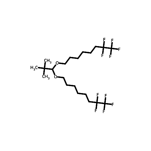 CC(C)(C)C(OCCCCCCC(F)(F)C(F)(F)F)OCCCCCCC(F)(F)C(F)(F)F